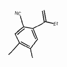 C=C(CC)c1cc(C)c(C)cc1C#N